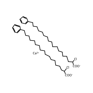 O=C([O-])C(Cl)CCCCCCCCCCCCCCCCc1ccccc1.O=C([O-])C(Cl)CCCCCCCCCCCCCCCCc1ccccc1.[Ca+2]